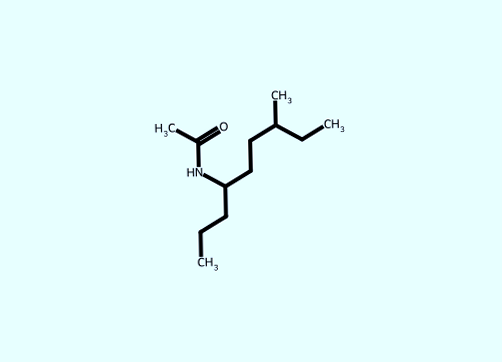 CCCC(CCC(C)CC)NC(C)=O